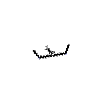 CCCCCC/C=C\CCCCCCCCN(CCCCCCCC/C=C\CCCCCC)C(=O)OCCCN(C)C